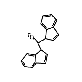 ClC(C1C=Cc2ccccc21)C1C=Cc2ccccc21.[Ti]